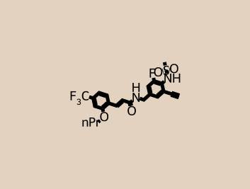 C#Cc1cc(CNC(=O)/C=C/c2ccc(C(F)(F)F)cc2OCCC)cc(F)c1NS(C)(=O)=O